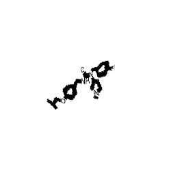 CC(C)COc1ccc(CNC(=O)N(Cc2ccc(F)cc2)C2CCN(C)C2)cc1